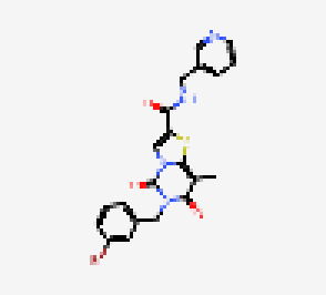 Cc1c(=O)n(Cc2cccc(Br)c2)c(=O)n2cc(C(=O)NCc3cccnc3)sc12